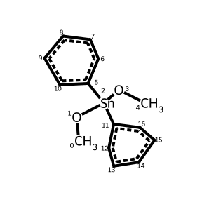 C[O][Sn]([O]C)([c]1ccccc1)[c]1ccccc1